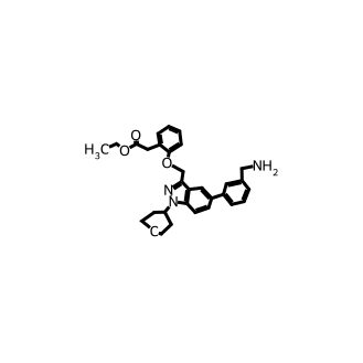 CCOC(=O)Cc1ccccc1OCc1nn(C2CCCCC2)c2ccc(-c3cccc(CN)c3)cc12